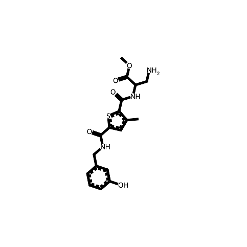 COC(=O)C(CN)NC(=O)c1sc(C(=O)NCc2cccc(O)c2)cc1C